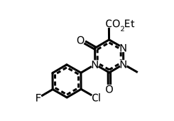 CCOC(=O)c1nn(C)c(=O)n(-c2ccc(F)cc2Cl)c1=O